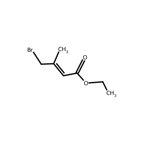 CCOC(=O)/C=C(\C)CBr